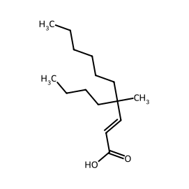 CCCCCCC(C)(/C=C/C(=O)O)CCCC